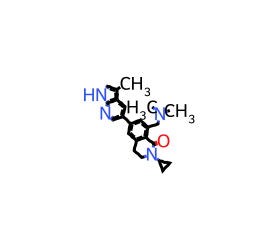 Cc1c[nH]c2ncc(-c3cc4c(c(CN(C)C)c3)C(=O)N(C3CC3)CC4)cc12